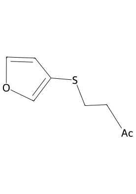 CC(=O)CCSc1ccoc1